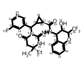 CC[C@]1(C)CC(=O)N(C(c2cncc(F)c2)C2C[C@H]2C(=O)NC2c3ccccc3OC(C(F)(F)F)C2O)C(=N)N1